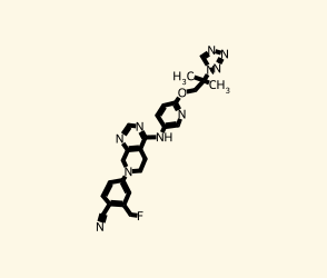 CC(C)(COc1ccc(Nc2ncnc3c2CCN(c2ccc(C#N)c(CF)c2)C3)cn1)n1cnnn1